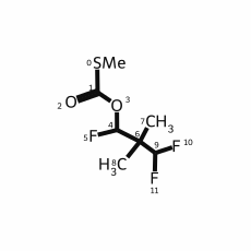 CSC(=O)OC(F)C(C)(C)C(F)F